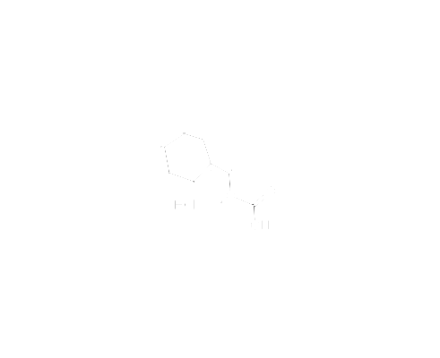 Cl.O=C(O)OCC1CCCCC1